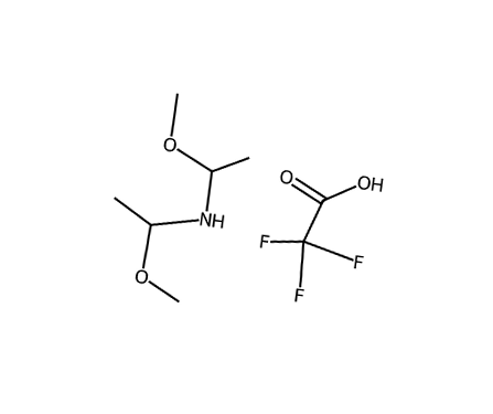 COC(C)NC(C)OC.O=C(O)C(F)(F)F